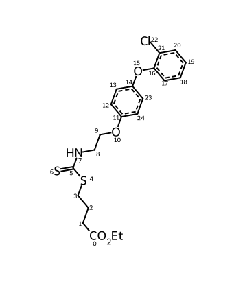 CCOC(=O)CCCSC(=S)NCCOc1ccc(Oc2ccccc2Cl)cc1